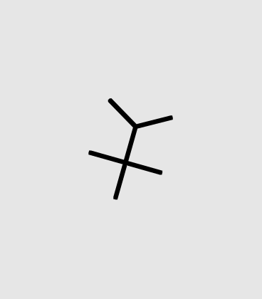 CC(C)C(C)(C)C